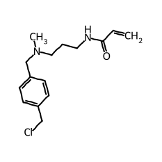 C=CC(=O)NCCCN(C)Cc1ccc(CCl)cc1